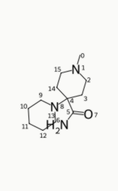 CN1CCC(C(N)=O)(N2CCCCC2)CC1